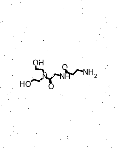 NCCC(=O)NCC(=O)N(CCO)CCO